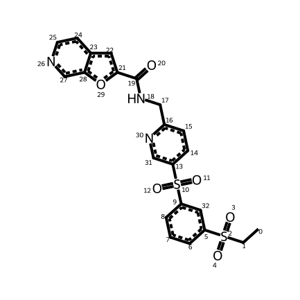 CCS(=O)(=O)c1cccc(S(=O)(=O)c2ccc(CNC(=O)c3cc4ccncc4o3)nc2)c1